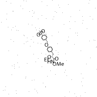 CCO[C@@H](Cc1ccc(OCc2ccc(S(C)(=O)=O)cc2)cc1)C(=O)NOC